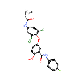 O=C(O)CC(=O)Nc1cc(Cl)c(Oc2ccc(O)c(C(=O)Nc3ccc(F)cc3)c2)c(Cl)c1